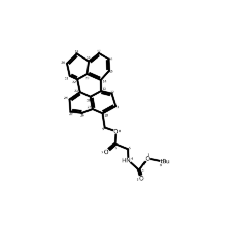 CC(C)(C)OC(=O)NCC(=O)OCc1ccc2c3cccc4cccc(c5cccc1c52)c43